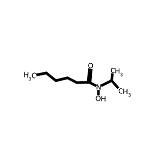 CCCCCC(=O)N(O)C(C)C